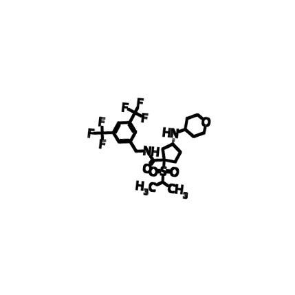 CC(C)S(=O)(=O)C1(C(=O)NCc2cc(C(F)(F)F)cc(C(F)(F)F)c2)CC[C@@H](NC2CCOCC2)C1